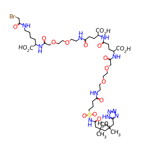 CC(C)(CC(=O)NS(=O)(=O)CCCC(=O)NCCOCCOCC(=O)NC(CCC(=O)NC(CCC(=O)NCCOCCOCC(=O)NC(CCCCNC(=O)CBr)C(=O)O)C(=O)O)C(=O)O)CC(C)(C)Cc1nnn[nH]1